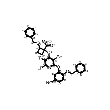 COC(=O)C1(Oc2c(F)c(F)nc(Oc3cc(C#N)ccc3OCc3ccccc3)c2F)CCC1OCc1ccccc1